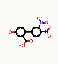 O=C(O)c1cc(O)ccc1-c1ccc([N+](=O)[O-])c([N+](=O)[O-])c1